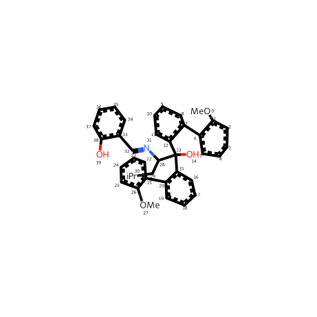 COc1ccccc1-c1ccccc1C(O)(c1ccccc1-c1ccccc1OC)C(CC(C)C)N=Cc1ccccc1O